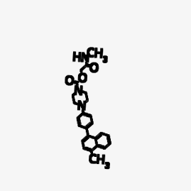 CNC(=O)COC(=O)N1CCN(c2ccc(-c3ccc(C)c4ccccc34)cc2)CC1